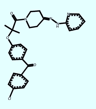 CC(C)(Oc1ccc(C(=O)c2ccc(Cl)cc2)cc1)C(=O)N1CCC(=NNc2ccccn2)CC1